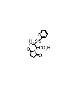 CC(SSc1ccccn1)C(C(=O)O)N1C(=O)CCC1=O